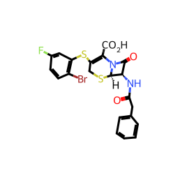 O=C(Cc1ccccc1)N[C@@H]1C(=O)N2C(C(=O)O)=C(Sc3cc(F)ccc3Br)CS[C@H]12